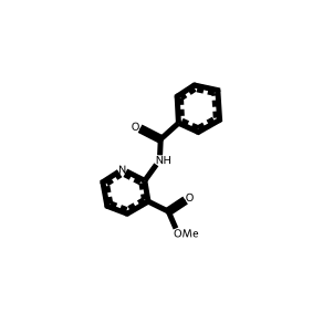 COC(=O)c1cccnc1NC(=O)c1ccccc1